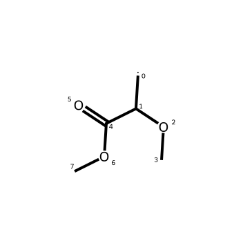 [CH2]C(OC)C(=O)OC